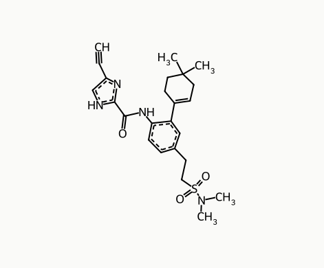 C#Cc1c[nH]c(C(=O)Nc2ccc(CCS(=O)(=O)N(C)C)cc2C2=CCC(C)(C)CC2)n1